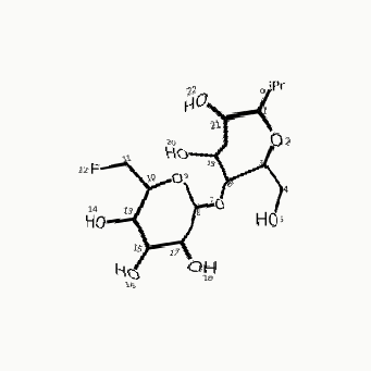 CC(C)C1OC(CO)C(OC2OC(CF)C(O)C(O)C2O)C(O)C1O